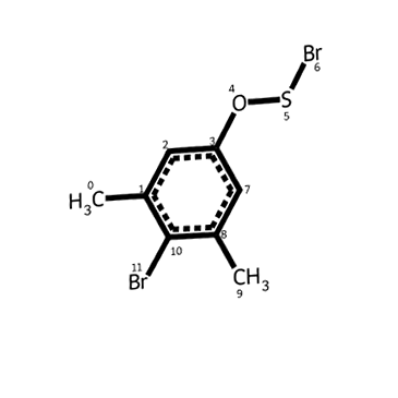 Cc1cc(OSBr)cc(C)c1Br